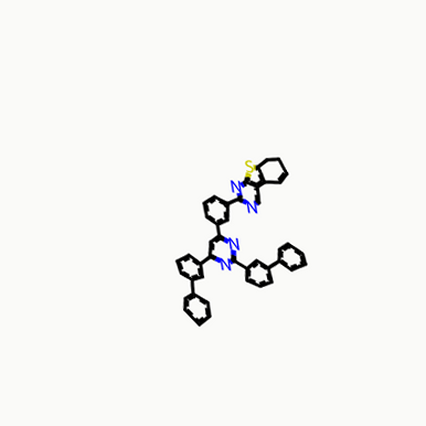 C1=Cc2c(sc3nc(-c4cccc(-c5cc(-c6cccc(-c7ccccc7)c6)nc(-c6cccc(-c7ccccc7)c6)n5)c4)ncc23)CC1